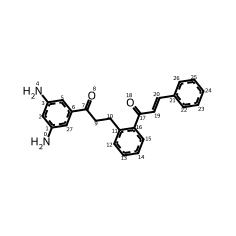 Nc1cc(N)cc(C(=O)CCc2ccccc2C(=O)C=Cc2ccccc2)c1